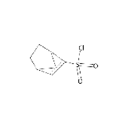 O=S(=O)(Cl)C1=CC2CCC1C2